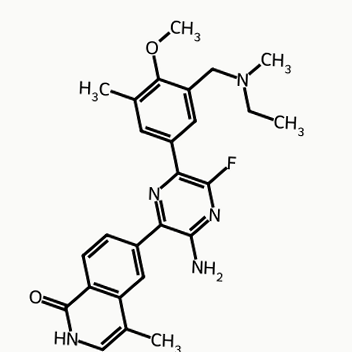 CCN(C)Cc1cc(-c2nc(-c3ccc4c(=O)[nH]cc(C)c4c3)c(N)nc2F)cc(C)c1OC